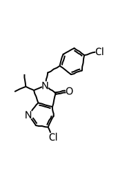 CC(C)C1c2ncc(Cl)cc2C(=O)N1Cc1ccc(Cl)cc1